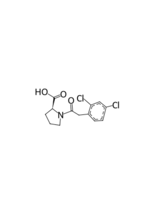 O=C(O)[C@@H]1CCCN1C(=O)Cc1ccc(Cl)cc1Cl